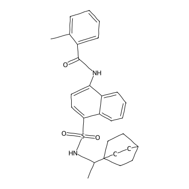 Cc1ccccc1C(=O)Nc1ccc(S(=O)(=O)NC(C)C23CCC(CC2)CC3)c2ccccc12